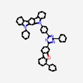 c1ccc(-c2nc(-c3ccc(-n4c5ccccc5c5cc6c7ccccc7n(-c7ccccc7)c6cc54)cc3)nc(-c3ccc4c(c3)oc3c(-c5ccccc5)cccc34)n2)cc1